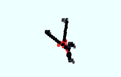 CCCCCCCCCCCCCCCC(=O)OCC(COC(=O)CCCCCCCCCCCCCCC)OC(=O)CC(=O)OC(CNC(C)C)COc1ccc(CCC)cc1